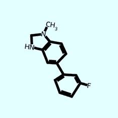 CN1CNc2cc(-c3cccc(F)c3)ccc21